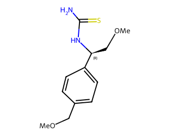 COCc1ccc([C@H](COC)NC(N)=S)cc1